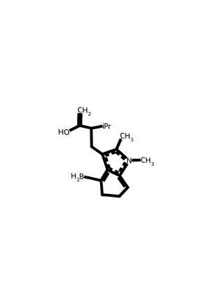 BC1=c2c(CC(C(=C)O)C(C)C)c(C)n(C)c2=CCC1